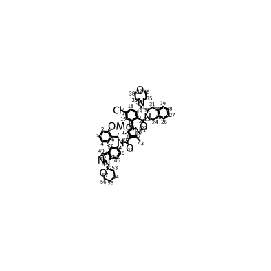 COc1ccccc1CN(C(=O)c1cc(-c2cc(Cl)ccc2C(=O)N2Cc3ccccc3C[C@H]2CN2CCOCC2)n(C)c1C)c1ccc2c(cnn2C2CCCCO2)c1